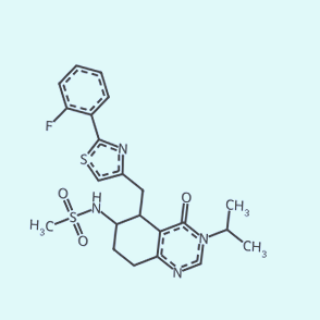 CC(C)n1cnc2c(c1=O)C(Cc1csc(-c3ccccc3F)n1)C(NS(C)(=O)=O)CC2